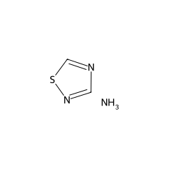 N.c1ncsn1